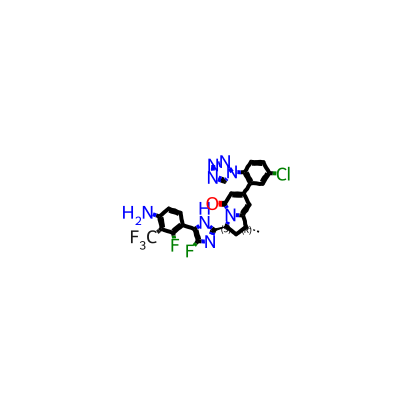 C[C@@H]1C[C@@H](c2nc(F)c(-c3ccc(N)c(C(F)(F)F)c3F)[nH]2)n2c1cc(-c1cc(Cl)ccc1-n1cnnn1)cc2=O